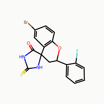 O=C1NC(=S)NC12CC(c1ccccc1F)Oc1ccc(Br)cc12